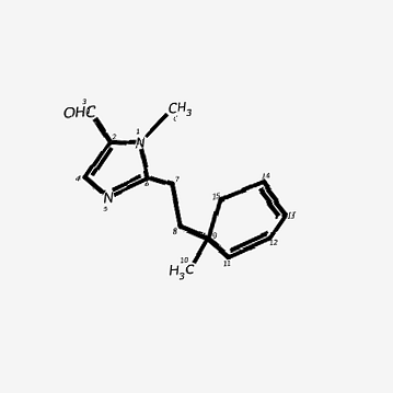 Cn1c(C=O)cnc1CCC1(C)C=CC=CC1